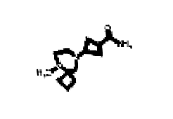 CN1CCN(C2CC(C(N)=O)C2)CC12CCC2